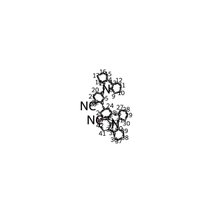 N#Cc1cc(-c2cc(-n3c4ccccc4c4ccccc43)ccc2C#N)cc(-c2ccccc2-n2c3c(c4ccccc42)C=CCC3)c1